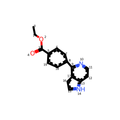 CCOC(=O)c1ccc(-c2nccc3[nH]ccc23)cc1